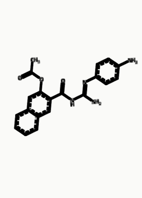 CC(=O)Oc1cc2ccccc2cc1C(=O)NC(N)=Nc1ccc(N)cc1